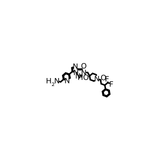 NCc1ccc(-c2cnc3c(=O)n(CC4(O)CCN(C(=O)CC(c5ccccc5)C(F)F)CC4)cnn23)cn1